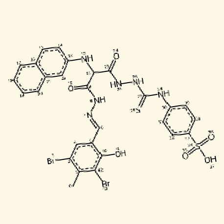 Cc1c(Br)cc(/C=N/NC(=O)C(Nc2ccc3ccccc3c2)C(=O)NNC(=S)Nc2ccc(S(=O)(=O)O)cc2)c(O)c1Br